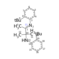 C/C(=N\c1ccccc1C(C)(C)C)C(C)(C)Nc1ccccc1C(C)(C)C